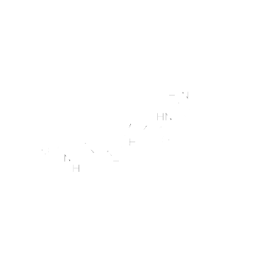 Cc1ccc(NC(=O)C[C@H]2CC[C@H]3[C@@H]4CC[C@H]5N(C)C(=O)C=C[C@]5(C)[C@H]4CC[C@]23C)c(N)c1